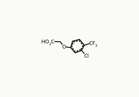 O=C(O)COc1ccc(C(F)(F)F)c(Cl)c1